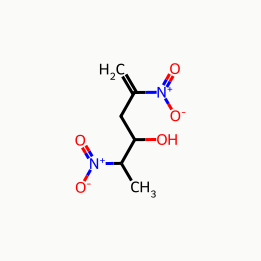 C=C(CC(O)C(C)[N+](=O)[O-])[N+](=O)[O-]